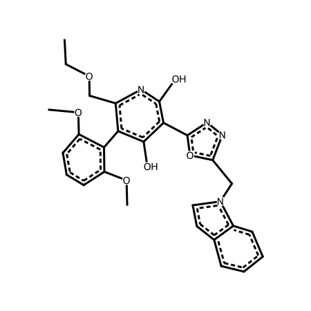 CCOCc1nc(O)c(-c2nnc(Cn3ccc4ccccc43)o2)c(O)c1-c1c(OC)cccc1OC